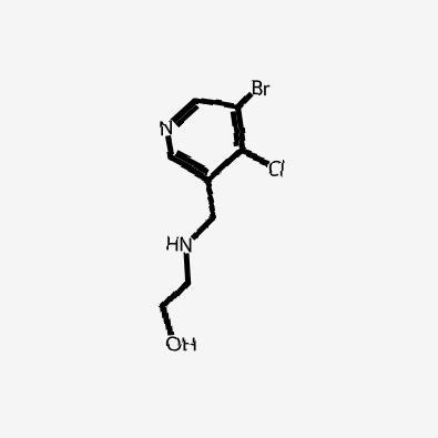 OCCNCc1cncc(Br)c1Cl